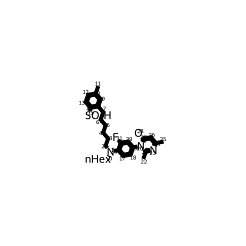 CCCCCCN(CCCCCCc1cc(C)ccc1S(=O)(=O)O)c1ccc(-n2c(C)nc(C)cc2=O)cc1F